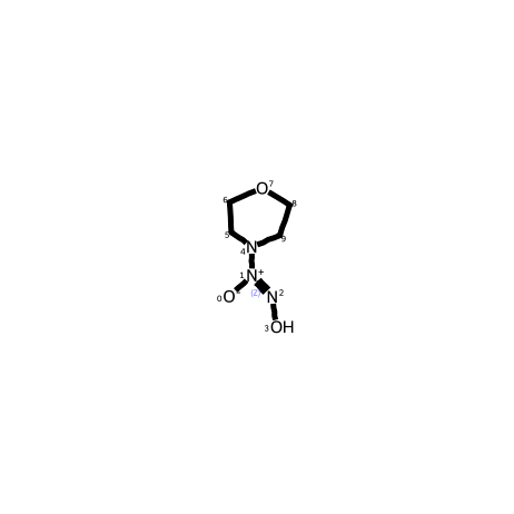 [O-]/[N+](=N\O)N1CCOCC1